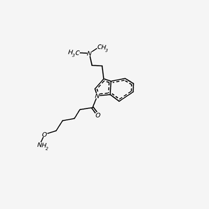 CN(C)CCc1cn(C(=O)CCCCON)c2ccccc12